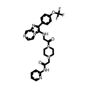 O=C(CN1CCN(C(=O)CNc2c(-c3ccc(OC(F)(F)F)cc3)nc3cnccn23)CC1)Nc1ccccn1